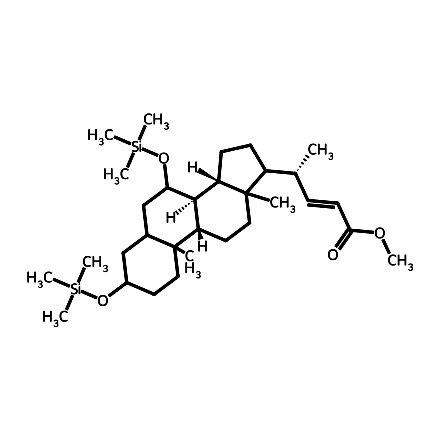 COC(=O)/C=C/[C@@H](C)C1CC[C@H]2[C@@H]3C(O[Si](C)(C)C)CC4CC(O[Si](C)(C)C)CCC4(C)[C@H]3CCC12C